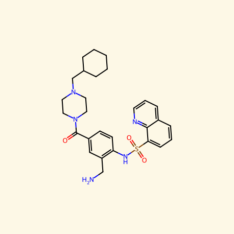 NCc1cc(C(=O)N2CCN(CC3CCCCC3)CC2)ccc1NS(=O)(=O)c1cccc2cccnc12